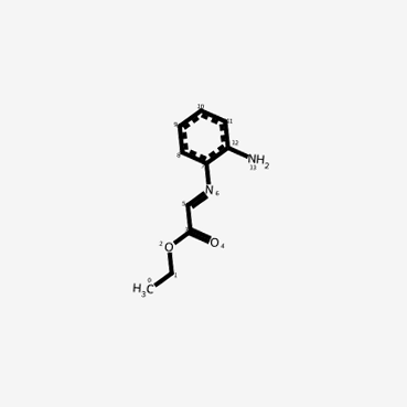 CCOC(=O)/C=N/c1ccccc1N